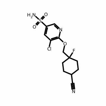 N#CC1CCC(F)(COc2ncc(S(N)(=O)=O)cc2Cl)CC1